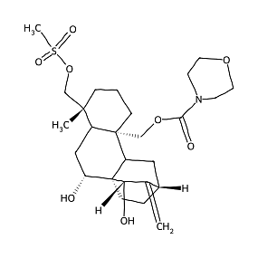 C=C1[C@H]2CC[C@]3(C(C2)[C@]2(COC(=O)N4CCOCC4)CCC[C@@](C)(COS(C)(=O)=O)C2C[C@H]3O)[C@H]1O